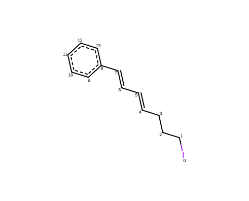 ICCCC=CC=Cc1ccccc1